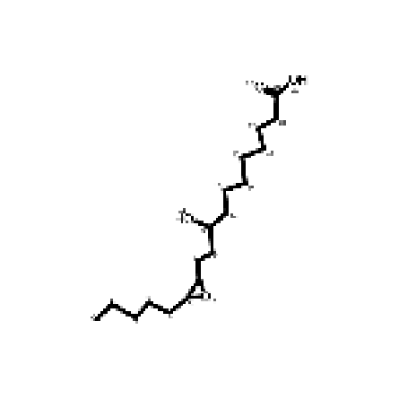 CCCCCC1OC1CCC(O)CCCCCCCC(=O)O